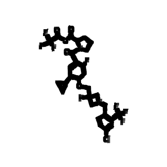 O=C(OC(=O)C(F)(F)F)C1CCCN1C(=O)c1cc(C2CC2)c(OCC2(F)CN(Cc3ccc(Cl)cc3C(F)(F)F)C2)cc1F